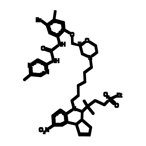 CCS(=O)(=O)CCC(C)(C)C1C2CC=CC2c2cc([N+](=O)[O-])ccc2N1CCCCCCN1CCO[C@H](COc2cc(C)c(Br)cc2NC(=O)Nc2cnc(C)cn2)C1